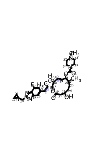 C/C(=C\c1cc(F)c2nn(CC3CC3)nc2c1)[C@H]1OC(=O)C[C@H](O)CC[C@H](C)[C@H](OC(=O)N2CCN(C)CC2)/C=C/[C@@H]1C